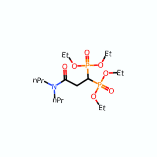 CCCN(CCC)C(=O)CC(P(=O)(OCC)OCC)P(=O)(OCC)OCC